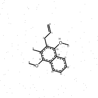 C=CCc1c(C)c(OC)c2ccccc2c1OC